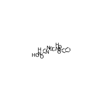 O=C(NO)c1ccc(N=C=C=CNS(=O)(=O)c2ccc3ccccc3c2)nc1